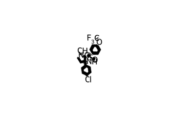 CN1CC[C@](NS(=O)(=O)c2ccc(OC(F)(F)F)cc2)(c2ccc(Cl)cc2)C1